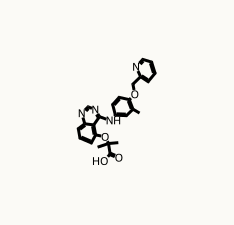 Cc1cc(Nc2ncnc3cccc(OC(C)(C)C(=O)O)c23)ccc1OCc1ccccn1